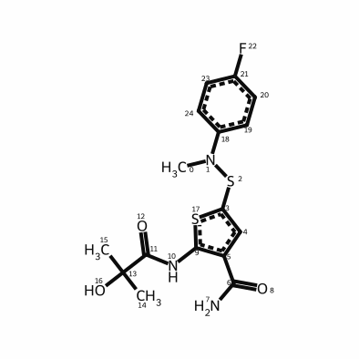 CN(Sc1cc(C(N)=O)c(NC(=O)C(C)(C)O)s1)c1ccc(F)cc1